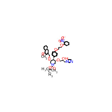 COc1cc(CO[C@H]2CN(C(=O)OC(C)(C)C)C[C@@H](OC[C@@H](O)Cn3ccnc3)[C@@H]2c2ccc(OCCCOc3ccccc3[N+](=O)[O-])cc2)cc2ccccc12